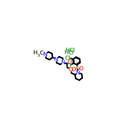 CN1CCC(N2CCN(C(=O)COCC3CCCCN3S(=O)(=O)c3cccc(Cl)c3Cl)CC2)CC1.Cl.Cl